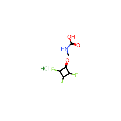 CNC(=O)O.Cl.O=C1C(F)C(F)C1F